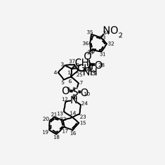 CC1(C)C2CCC1(CS(=O)(=O)N1CCC3(C=Cc4ccccc43)CC1)C(NC(=O)Oc1ccc([N+](=O)[O-])cc1)C2